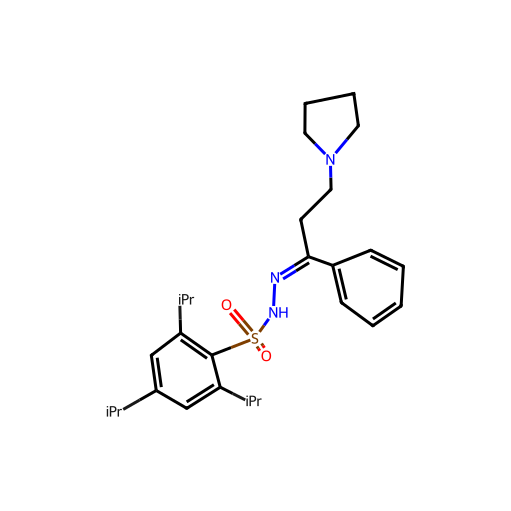 CC(C)c1cc(C(C)C)c(S(=O)(=O)NN=C(CCN2CCCC2)c2ccccc2)c(C(C)C)c1